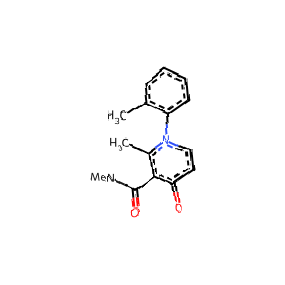 CNC(=O)c1c(C)n(-c2ccccc2C)ccc1=O